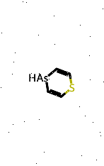 C1=C[AsH]C=CS1